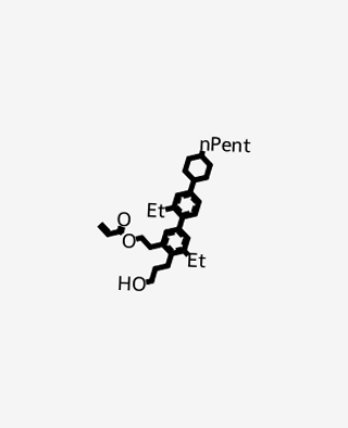 C=CC(=O)OCCc1cc(-c2ccc(C3CCC(CCCCC)CC3)cc2CC)cc(CC)c1CCCO